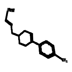 CCCC(C)CCCC1CC=C(c2ccc(C(F)(F)F)cc2)CC1